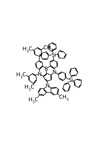 Cc1cc(C)cc(-c2ccc3c(c2)B2c4cc([Si](c5ccccc5)(c5ccccc5)c5ccccc5)ccc4N(c4ccc([Si](c5ccccc5)(c5ccccc5)c5ccccc5)cc4)c4cc(-n5c6ccc(C)cc6c6cc(C)ccc65)cc(c42)N3c2cc(C)cc(C)c2)c1